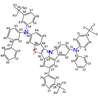 CC(C)(C)c1ccc(N(c2ccccc2)c2ccc3c(c2)c2cc(-c4cccc(C(C)(C)C)c4)cc4c5sc6cc(N(c7cccc(-c8ccccc8)c7)c7cccc(C(C)(C)C)c7)ccc6c5n3c24)cc1